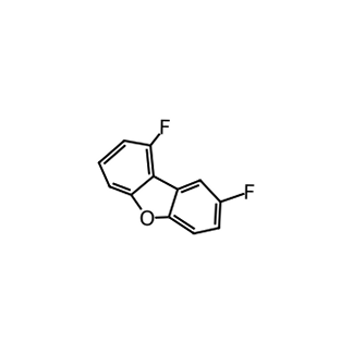 Fc1ccc2oc3cccc(F)c3c2c1